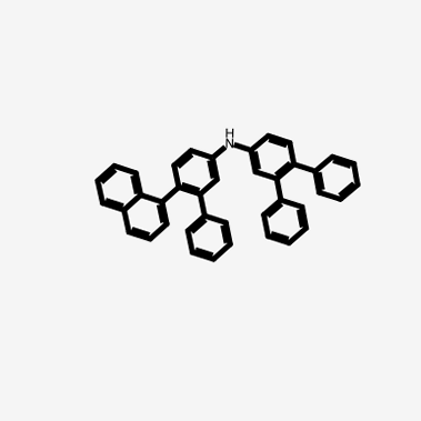 c1ccc(-c2ccc(Nc3ccc(-c4cccc5ccccc45)c(-c4ccccc4)c3)cc2-c2ccccc2)cc1